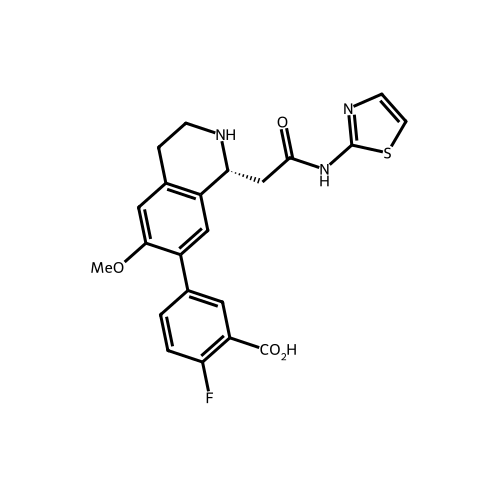 COc1cc2c(cc1-c1ccc(F)c(C(=O)O)c1)[C@@H](CC(=O)Nc1nccs1)NCC2